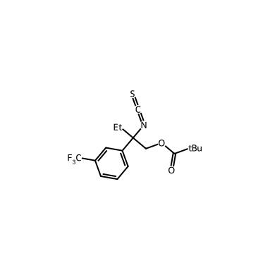 CCC(COC(=O)C(C)(C)C)(N=C=S)c1cccc(C(F)(F)F)c1